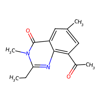 CCc1nc2c(C(C)=O)cc(C)cc2c(=O)n1C